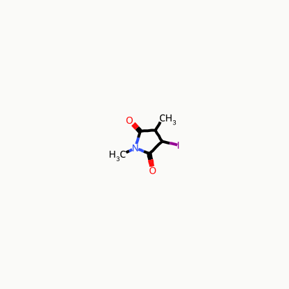 CC1C(=O)N(C)C(=O)C1I